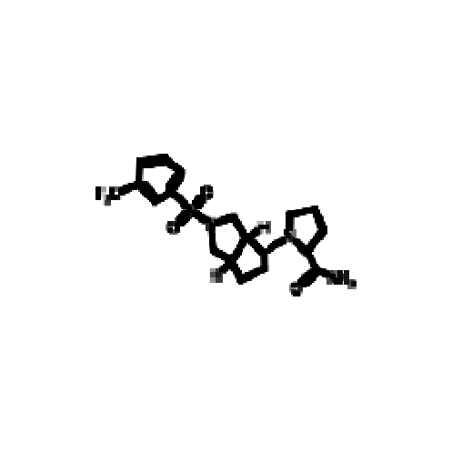 NC(=O)[C@@H]1CCCN1[C@H]1CC[C@@H]2CN(S(=O)(=O)c3cccc(C(F)(F)F)c3)C[C@@H]21